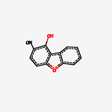 O=Nc1ccc2oc3ccccc3c2c1O